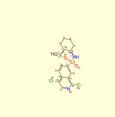 O=C(O)[C@H]1CCCC[C@H]1NS(=O)(=O)c1ccc2c(Cl)cnc(Cl)c2c1